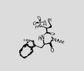 CNC(=O)C(Cc1c[nH]c2ccccc12)NC(=O)C(CC(C)C)NS(=O)(=O)S